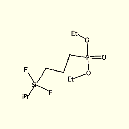 CCOP(=O)(CCC[Si](F)(F)C(C)C)OCC